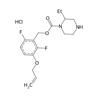 C=CCOc1ccc(F)c(COC(=O)N2CCNCC2CC)c1F.Cl